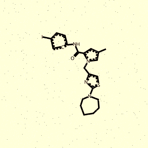 Cc1cc(C(=O)Nc2ccc(I)cc2)n(Cc2csc(N3CCCCCC3)n2)c1